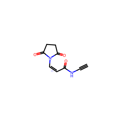 C#CNC(=O)/C=C\N1C(=O)CCC1=O